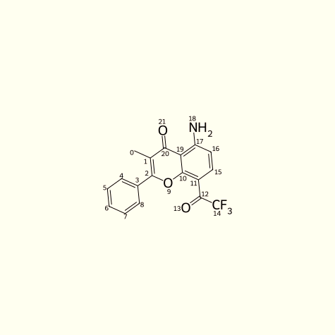 Cc1c(-c2ccccc2)oc2c(C(=O)C(F)(F)F)ccc(N)c2c1=O